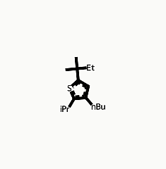 CCCCc1cc(C(C)(C)CC)sc1C(C)C